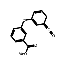 COC(=O)c1cccc(OC2=CC(=C=O)CC=C2)c1